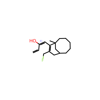 C=C/C(O)=C\C1=C(CF)CC2CCCCCC1(C)C2